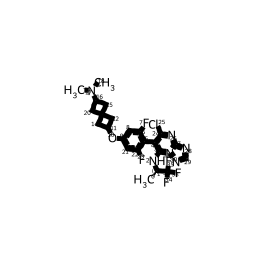 C[C@H](Nc1c(-c2c(F)cc(OC3CC4(C3)CC(N(C)C)C4)cc2F)c(Cl)nc2ncnn12)C(F)(F)F